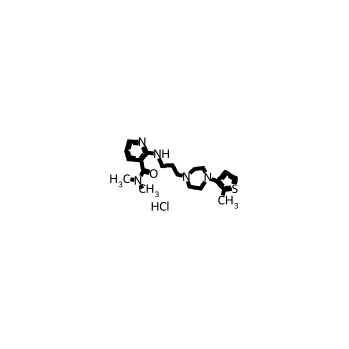 Cc1sccc1N1CCN(CCCNc2ncccc2C(=O)N(C)C)CC1.Cl